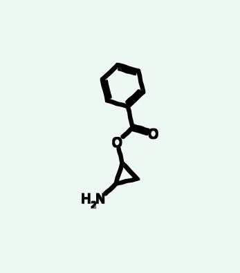 NC1CC1OC(=O)c1ccccc1